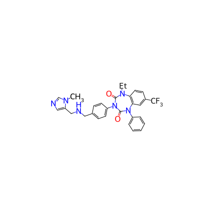 CCN1C(=O)N(c2ccc(CNCc3cncn3C)cc2)C(=O)N(c2ccccc2)c2cc(C(F)(F)F)ccc21